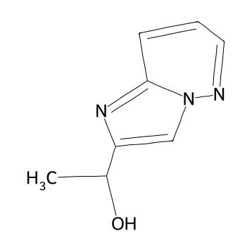 CC(O)c1cn2ncccc2n1